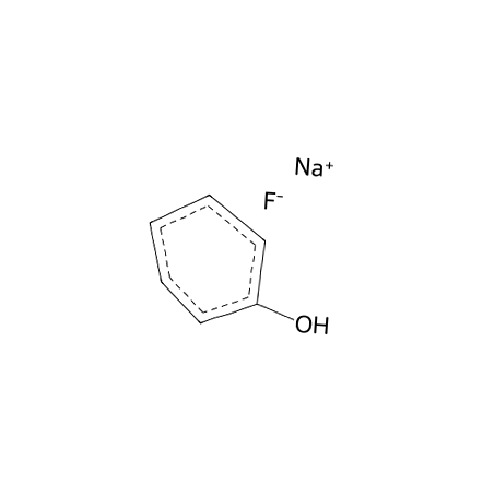 Oc1ccccc1.[F-].[Na+]